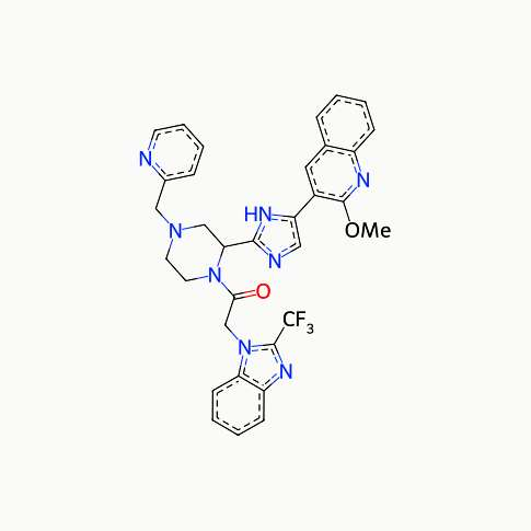 COc1nc2ccccc2cc1-c1cnc(C2CN(Cc3ccccn3)CCN2C(=O)Cn2c(C(F)(F)F)nc3ccccc32)[nH]1